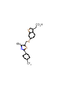 CC(C)(C)c1nc(-c2ccc(C(F)(F)F)cc2)sc1CSc1ccc2c(CC(=O)O)csc2c1